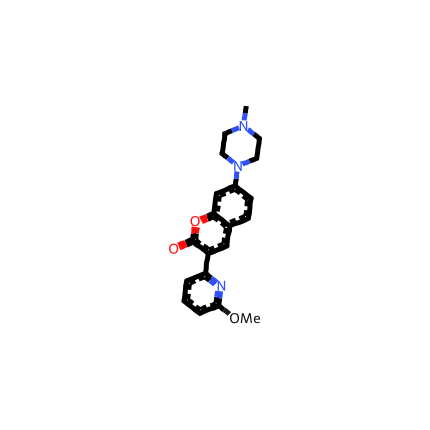 COc1cccc(-c2cc3ccc(N4CCN(C)CC4)cc3oc2=O)n1